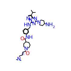 CC(C)c1cnn2c(NCc3cccc(NC(=O)C4CCCN(C(=O)/C=C/CN(C)C)CC4)c3)nc(N3CCC(N)CC3)nc12